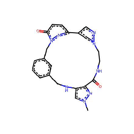 Cn1cc2c(n1)C(=O)NCCn1cc(cn1)-c1ccc(=O)n(n1)Cc1cccc(c1)CN2